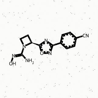 N#Cc1ccc(-c2noc([C@@H]3CCN3/C(N)=N/O)n2)cc1